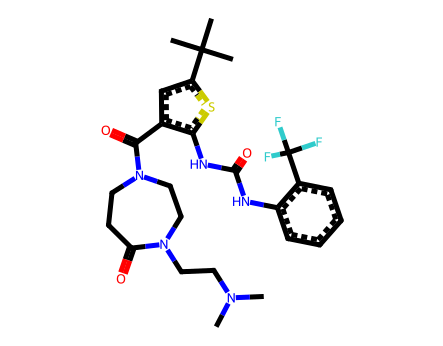 CN(C)CCN1CCN(C(=O)c2cc(C(C)(C)C)sc2NC(=O)Nc2ccccc2C(F)(F)F)CCC1=O